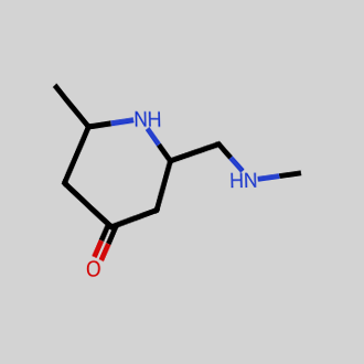 CNCC1CC(=O)CC(C)N1